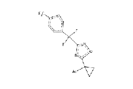 CC(=O)C1(c2nc(C(F)(F)c3ccc(C(F)(F)F)cc3)no2)CC1